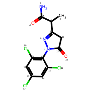 CC(C(N)=O)C1=NN(c2c(Cl)cc(Cl)cc2Cl)C(=O)C1